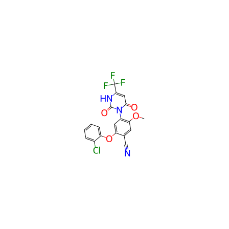 COc1cc(C#N)c(Oc2ccccc2Cl)cc1-n1c(=O)cc(C(F)(F)F)[nH]c1=O